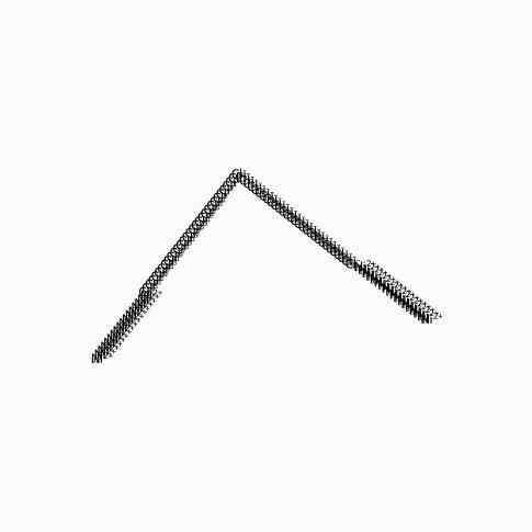 [Cl-].[Cl-].[Cl-].[Cl-].[Cl-].[Cl-].[Cl-].[Cl-].[Cl-].[Cl-].[Cl-].[Cl-].[Cl-].[Cl-].[Cl-].[Cl-].[Cl-].[Cl-].[Cl-].[Cl-].[Cl-].[Cl-].[Cl-].[Cl-].[Cl-].[Cl-].[Cl-].[Cl-].[Cl-].[Cl-].[Cl-].[Cl-].[Cl-].[Cl-].[Cl-].[Cl-].[Cl-].[Cl-].[Cl-].[Cl-].[Cl-].[Cl-].[Cl-].[Cl-].[Cl-].[Cl-].[Cl-].[Cl-].[Cl-].[Cl-].[Cl-].[Cl-].[Cl-].[Cl-].[Cl-].[Cl-].[Cl-].[Cl-].[Cl-].[Cl-].[Ni+2].[Ni+2].[Ni+2].[Ni+2].[Ni+2].[Ni+2].[Ni+2].[Ni+2].[Ni+2].[Ni+2].[Ni+2].[Ni+2].[Ni+2].[Ni+2].[Ni+2].[Ni+2].[Ni+2].[Ni+2].[Ni+2].[Ni+2].[Ni+2].[Ni+2].[Ni+2].[Ni+2].[Ni+2].[Ni+2].[Ni+2].[Ni+2].[Ni+2].[Ni+2].[Ni+2].[Ni+2].[Ni+2].[Ni+2].[Ni+2]